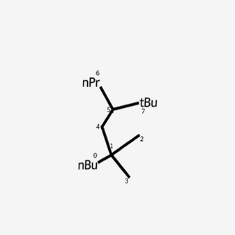 CCCCC(C)(C)C[C](CCC)C(C)(C)C